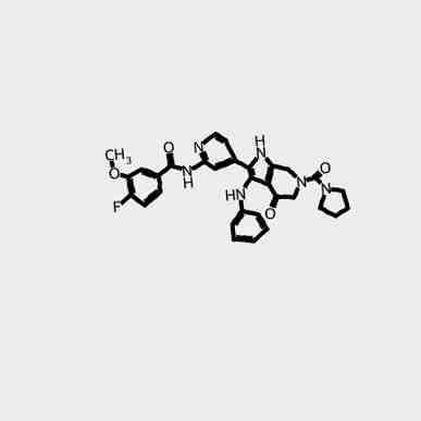 COc1cc(C(=O)Nc2cc(-c3[nH]c4c(c3Nc3ccccc3)C(=O)CN(C(=O)N3CCCC3)C4)ccn2)ccc1F